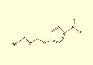 [CH2]COCOc1ccc([N+](=O)[O-])cc1